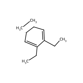 CC.CCC1=C[CH]CC=C1CC